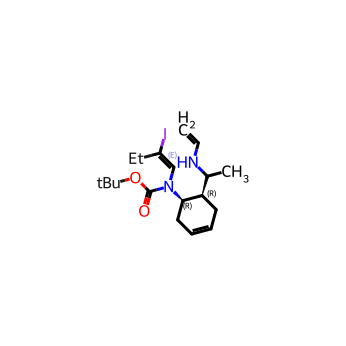 C=CNC(C)[C@H]1CC=CC[C@H]1N(/C=C(/I)CC)C(=O)OC(C)(C)C